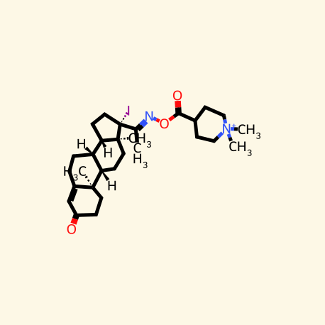 C/C(=N\OC(=O)C1CC[N+](C)(C)CC1)[C@]1(I)CC[C@H]2[C@H]3CCC4=CC(=O)CC[C@]4(C)[C@H]3CC[C@@]21C